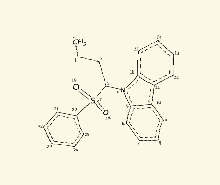 CCCC(n1c2ccccc2c2ccccc21)S(=O)(=O)c1ccccc1